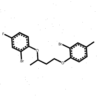 Cc1ccc(OCCC(C)Oc2ccc(F)cc2Br)c(Br)c1